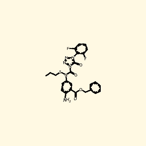 CCCSN(C(=O)n1nnn(-c2c(F)cccc2F)c1=O)c1ccc(N)c(C(=O)OCc2ccccc2)c1